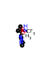 C[C@H]1CN(c2ccc3ccccc3n2)CCN1CCCCC1(OC(=O)NCC(F)(F)F)c2ccccc2-c2ccccc21